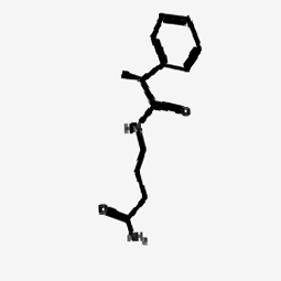 C[C@H](C(=O)NCCCC(N)=O)c1ccccc1